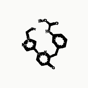 CC(C)COC(=O)Nc1cccc(Cc2nn(-c3cnn(CC(C)C)c3)ccc2=O)c1